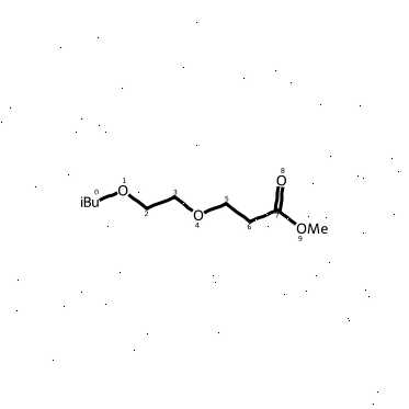 CCC(C)OCCOCCC(=O)OC